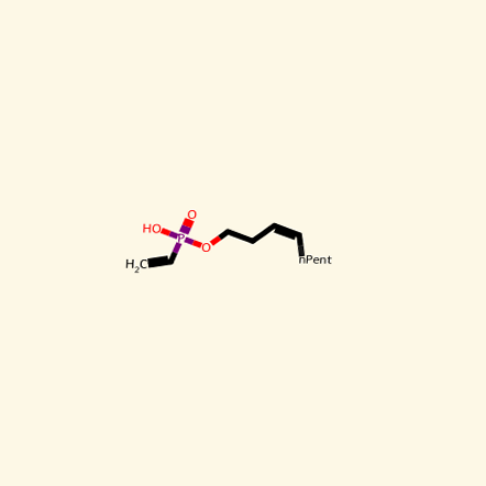 C=CP(=O)(O)OCC/C=C\CCCCC